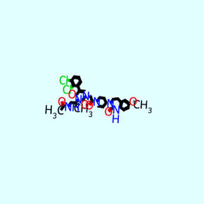 COc1ccc2c(c1)CCN(C1CCN(C(=O)Cn3cc(-c4cccc(Cl)c4Cl)c(=O)n([C@@H](C)CNC(C)=O)c3=O)CC1)C(=O)N2